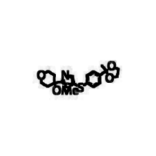 COC1(c2ncc(Sc3ccc(C4(C)OCCO4)cc3)s2)CCOCC1